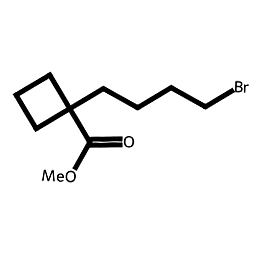 COC(=O)C1(CCCCBr)CCC1